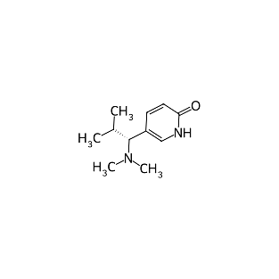 CC(C)[C@H](c1ccc(=O)[nH]c1)N(C)C